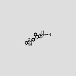 CN(C)CCCCNc1ncc2c(n1)-c1ccccc1C(c1ccc(NC(=O)c3ccccc3Br)cc1)C2